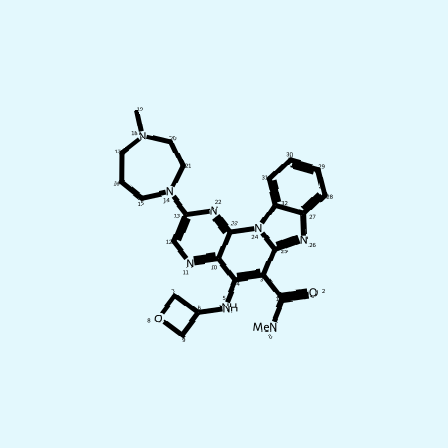 CNC(=O)c1c(NC2COC2)c2ncc(N3CCCN(C)CC3)nc2n2c1nc1ccccc12